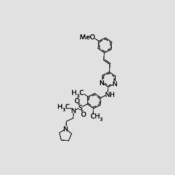 COc1cccc(/C=C/c2cnc(Nc3cc(C)c(S(=O)(=O)N(C)CCN4CCCC4)c(C)c3)nc2)c1